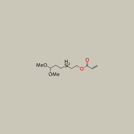 C=CC(=O)OCC[SiH2]CCC(OC)OC